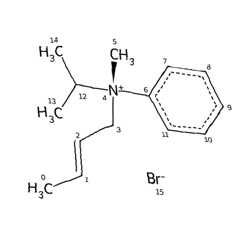 C/C=C/C[N@@+](C)(c1ccccc1)C(C)C.[Br-]